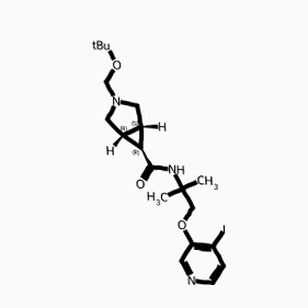 CC(C)(COc1cnccc1I)NC(=O)[C@H]1[C@@H]2CN(COC(C)(C)C)C[C@@H]21